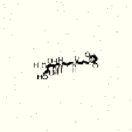 C[C@@H]([C@H](O)[C@@H](O)CNCCCNC(=O)CCCN1C(=O)C=CC1=O)[C@H](O)CO